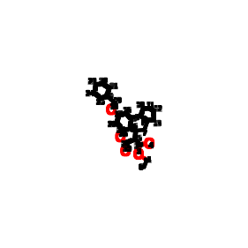 CCOC(=O)c1c(Cc2ccccc2)c2ccc(OCc3ccccc3)cc2oc1=O